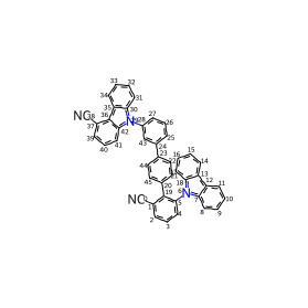 N#Cc1cccc(-n2c3ccccc3c3ccccc32)c1-c1ccc(-c2cccc(-n3c4ccccc4c4c(C#N)cccc43)c2)cc1